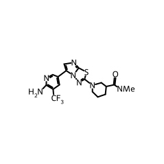 CNC(=O)C1CCCN(c2nn3c(-c4cnc(N)c(C(F)(F)F)c4)cnc3s2)C1